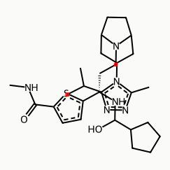 CNC(=O)c1ccc([C@H](CCN2C3CCC2CC(n2c(C)nnc2C(C)C)C3)NC(O)C2CCCC2)s1